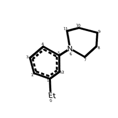 CCc1cccc(N2CCCCC2)c1